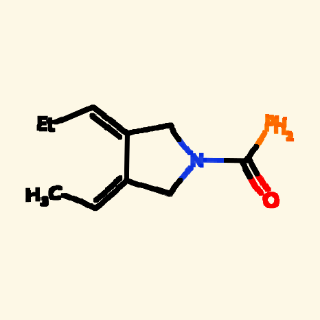 C/C=C1/CN(C(=O)P)C/C1=C/CC